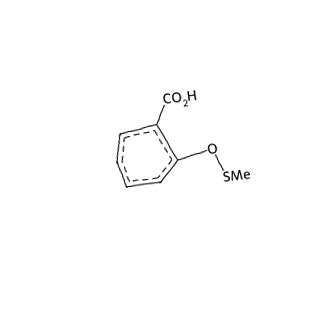 CSOc1ccccc1C(=O)O